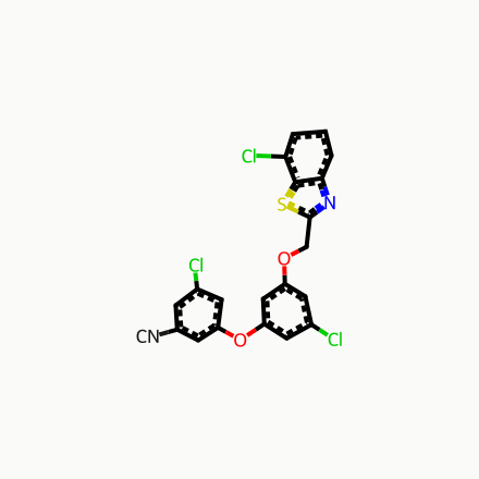 [C-]#[N+]c1cc(Cl)cc(Oc2cc(Cl)cc(OCc3nc4cccc(Cl)c4s3)c2)c1